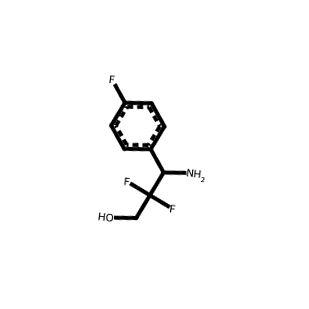 NC(c1ccc(F)cc1)C(F)(F)CO